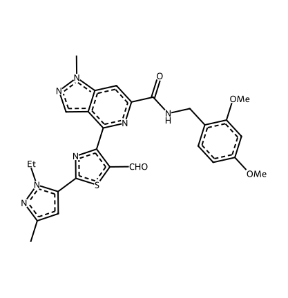 CCn1nc(C)cc1-c1nc(-c2nc(C(=O)NCc3ccc(OC)cc3OC)cc3c2cnn3C)c(C=O)s1